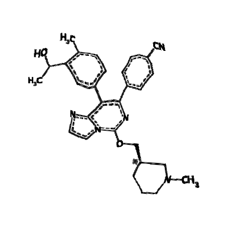 Cc1ccc(-c2c(-c3ccc(C#N)cc3)nc(OC[C@@H]3CCCN(C)C3)n3ccnc23)cc1C(C)O